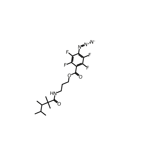 CC(C)C(C)C(C)(C)C(=O)NCCCOC(=O)c1c(F)c(F)c(N=[N+]=[N-])c(F)c1F